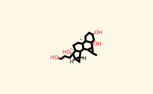 CC1C2C3C4[C@@H]5C[C@@H]5[C@@](O)(CCCO)[C@@]4(C)CCC3[C@@]3(C)CC[C@H](O)C[C@@]3(O)C12